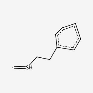 [CH]=[SH]CCc1ccccc1